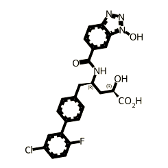 O=C(N[C@H](Cc1ccc(-c2cc(Cl)ccc2F)cc1)C[C@@H](O)C(=O)O)c1ccc2nnn(O)c2c1